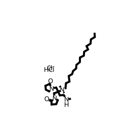 CCCCCCCCCCCCCCCCCC[N+](C)(C)C(CCNC)(CN1CCCC1=O)CN1CCCC1=O.Cl.[Cl-]